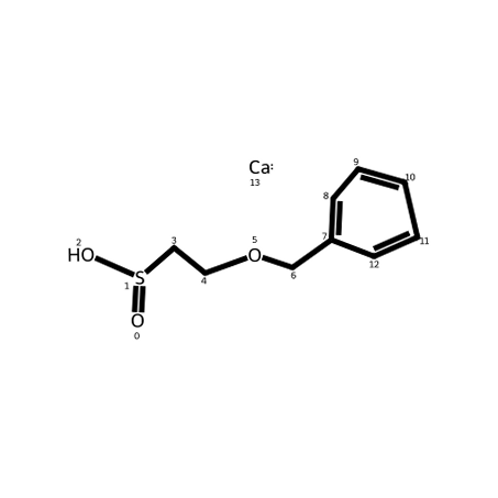 O=S(O)CCOCc1ccccc1.[Ca]